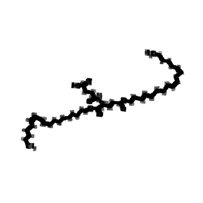 CCCCC/C=C\C/C=C\CCCCCCCCOC(=O)CCC(NC(=O)CCC(=O)O)C(=O)OCCCCCCCC/C=C\C/C=C\CCCCC